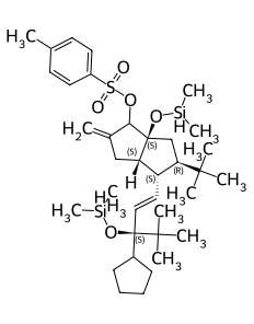 C=C1C[C@H]2[C@@H](C=C[C@@](O[SiH](C)C)(C3CCCC3)C(C)(C)C)[C@H](C(C)(C)C)C[C@@]2(O[SiH](C)C)C1OS(=O)(=O)c1ccc(C)cc1